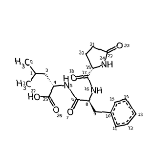 CC(C)C[C@H](NC(=O)[C@H](Cc1ccccc1)NC(=O)[C@@H]1CCC(=O)N1)C(=O)O